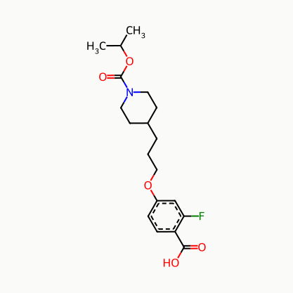 CC(C)OC(=O)N1CCC(CCCOc2ccc(C(=O)O)c(F)c2)CC1